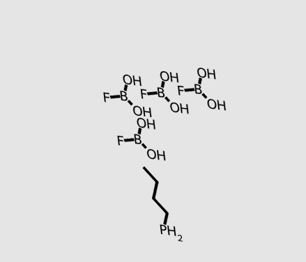 CCCCP.OB(O)F.OB(O)F.OB(O)F.OB(O)F